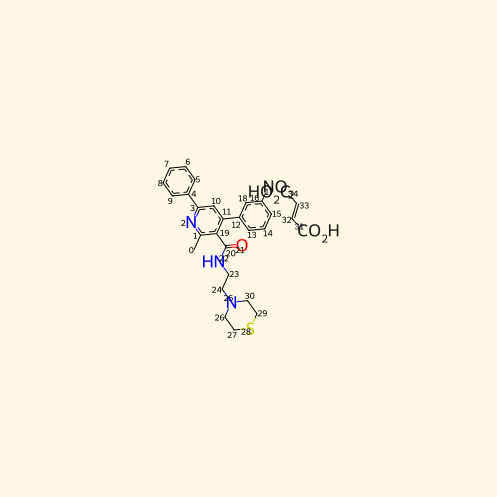 Cc1nc(-c2ccccc2)cc(-c2cccc([N+](=O)[O-])c2)c1C(=O)NCCN1CCSCC1.O=C(O)C=CC(=O)O